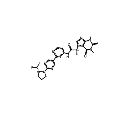 C=C1N(C)C(=O)c2c(ncn2[C@@H](C)C(=O)Nc2ccnc(-c3cnc(N4CCC[C@@H]4C(F)F)nc3)n2)N1C